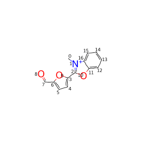 C[n+]1c(-c2ccc(C=O)o2)oc2ccccc21